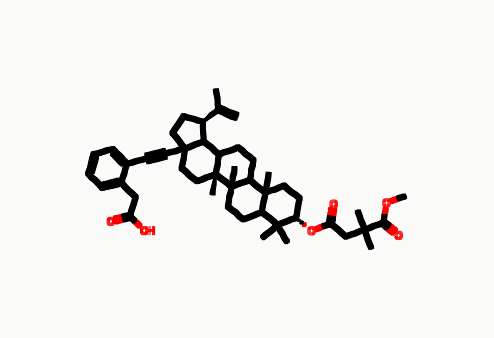 C=C(C)[C@@H]1CCC2(C#Cc3ccccc3CC(=O)O)CC[C@]3(C)C(CCC4C5(C)CC[C@H](OC(=O)CC(C)(C)C(=O)OC)C(C)(C)C5CCC43C)C12